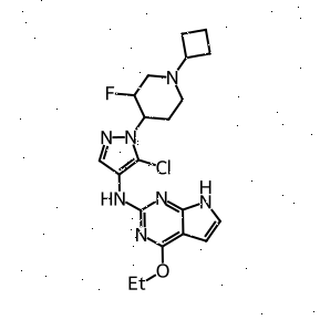 CCOc1nc(Nc2cnn(C3CCN(C4CCC4)CC3F)c2Cl)nc2[nH]ccc12